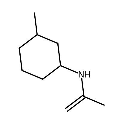 C=C(C)NC1CCCC(C)C1